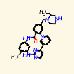 Cc1ccc(NC(=O)c2ccc(CN3CCNCC3C)cc2)cc1Nc1nccc(-c2cccnc2)n1